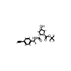 C#Cc1ccc([C@H](C)NC(=O)[C@@H]2C[C@@H](O)CN2C(=O)OC(C)(C)C)cc1